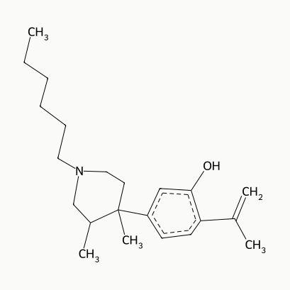 C=C(C)c1ccc(C2(C)CCN(CCCCCC)CC2C)cc1O